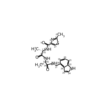 Cc1nc(C(=O)N[C@@H](C)C(=O)N[C@@H](C)C(=O)NCc2cccc3[nH]ccc23)cs1